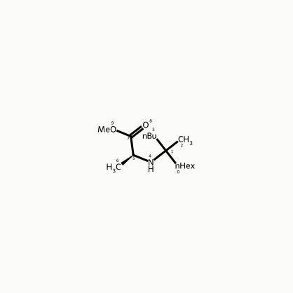 CCCCCCC(C)(CCCC)N[C@@H](C)C(=O)OC